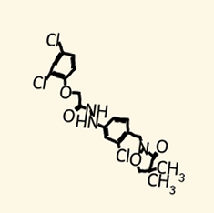 CC1(C)CON(Cc2ccc(NNC(=O)COc3ccc(Cl)cc3Cl)cc2Cl)C1=O